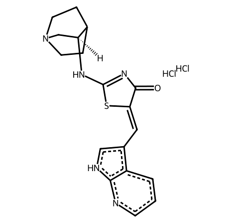 Cl.Cl.O=C1N=C(N[C@H]2CN3CCC2CC3)S/C1=C\c1c[nH]c2ncccc12